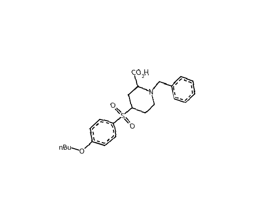 CCCCOc1ccc(S(=O)(=O)C2CCN(Cc3ccccc3)C(C(=O)O)C2)cc1